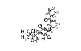 CC(C)(C)c1ocnc1/C=c1\[nH]c(=O)/c(=C/c2cccc(C(=O)c3cccnc3)c2)[nH]c1=O